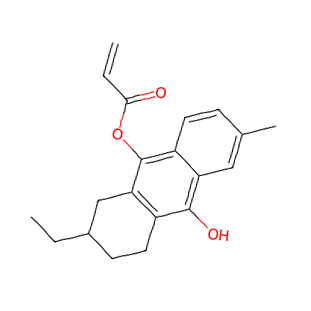 C=CC(=O)Oc1c2c(c(O)c3cc(C)ccc13)CCC(CC)C2